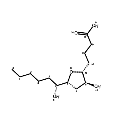 CCCCC[C@@H](O)[C@H]1C[C@H](O)[C@@H](CCCC(=O)O)O1